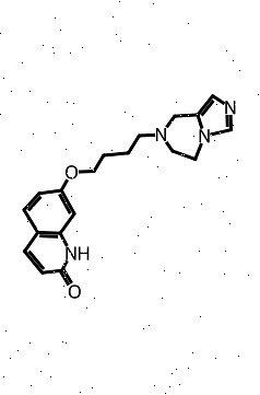 O=c1ccc2ccc(OCCCCN3CCn4cncc4C3)cc2[nH]1